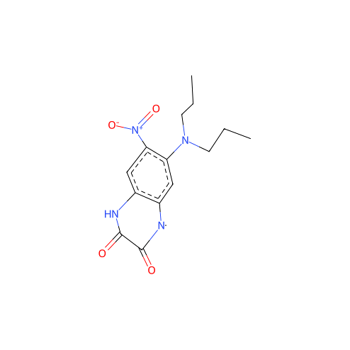 CCCN(CCC)c1cc2c(cc1[N+](=O)[O-])NC(=O)C(=O)[N]2